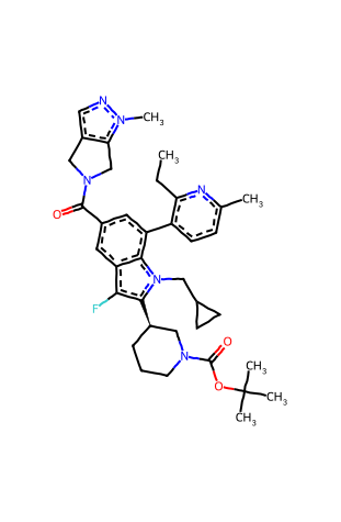 CCc1nc(C)ccc1-c1cc(C(=O)N2Cc3cnn(C)c3C2)cc2c(F)c([C@@H]3CCCN(C(=O)OC(C)(C)C)C3)n(CC3CC3)c12